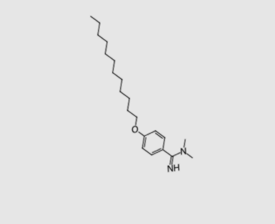 CCCCCCCCCCCCOc1ccc(C(=N)N(C)C)cc1